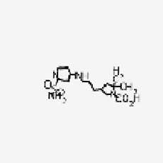 CC1(C)CC(CCCNc2ccnc(S(N)(=O)=O)c2)CN1C(=O)O